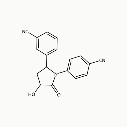 N#Cc1ccc(N2C(=O)C(O)CC2c2cccc(C#N)c2)cc1